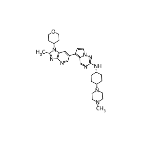 Cc1nc2ncc(-c3ccn4nc(N[C@H]5CC[C@H](N6CCN(C)CC6)CC5)ncc34)cc2n1C1CCOCC1